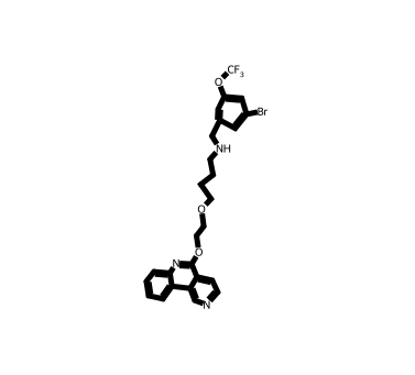 FC(F)(F)Oc1cc(Br)cc(CNCCCCOCCOc2nc3ccccc3c3cnccc23)c1